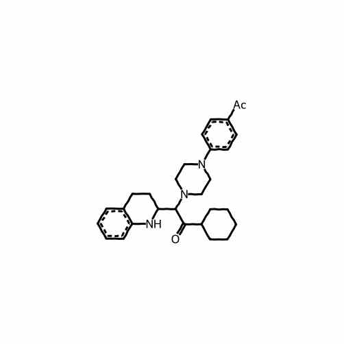 CC(=O)c1ccc(N2CCN(C(C(=O)C3CCCCC3)C3CCc4ccccc4N3)CC2)cc1